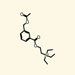 CC[N+](CC)(CC)CCOC(=O)c1cccc(COC(C)=O)c1